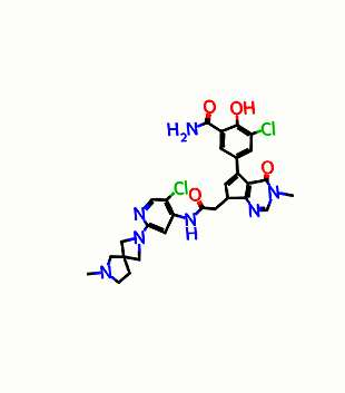 CN1CCC2(C1)CN(c1cc(NC(=O)CC3C=C(c4cc(Cl)c(O)c(C(N)=O)c4)c4c3ncn(C)c4=O)c(Cl)cn1)C2